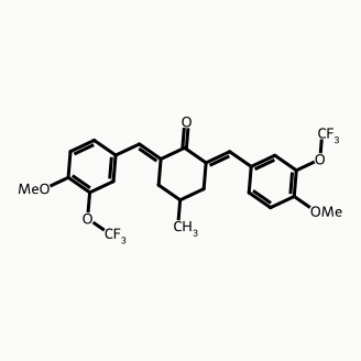 COc1ccc(C=C2CC(C)CC(=Cc3ccc(OC)c(OC(F)(F)F)c3)C2=O)cc1OC(F)(F)F